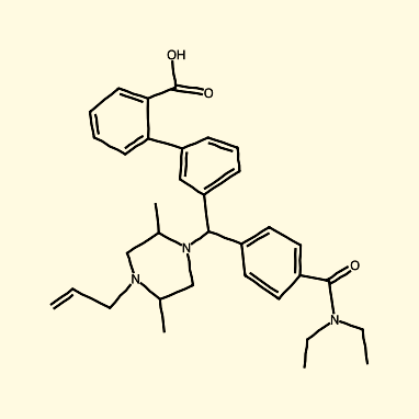 C=CCN1CC(C)N(C(c2ccc(C(=O)N(CC)CC)cc2)c2cccc(-c3ccccc3C(=O)O)c2)CC1C